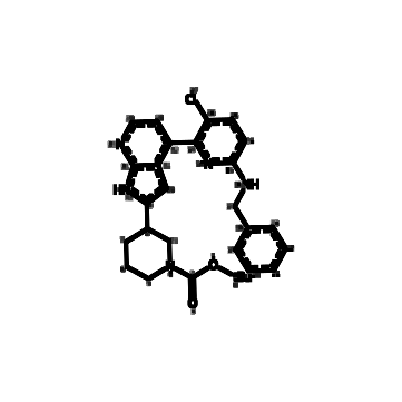 CC(C)(C)OC(=O)N1CCCC(c2cc3c(-c4nc(NCc5ccccc5)ccc4Cl)ccnc3[nH]2)C1